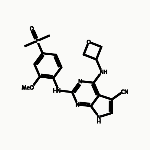 COc1cc(P(C)(C)=O)ccc1Nc1nc(NC2COC2)c2c(C#N)c[nH]c2n1